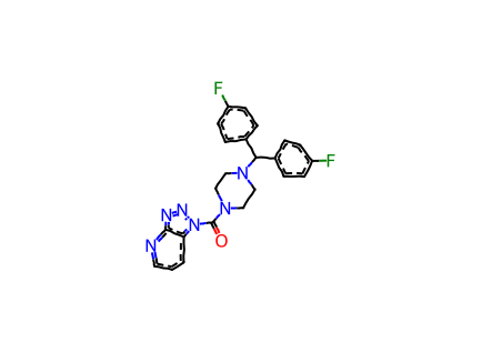 O=C(N1CCN(C(c2ccc(F)cc2)c2ccc(F)cc2)CC1)n1nnc2ncccc21